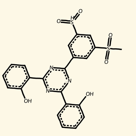 CS(=O)(=O)c1cc(-c2nc(-c3ccccc3O)nc(-c3ccccc3O)n2)cc([SH](=O)=O)c1